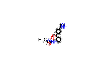 Cc1coc(NC(=O)[C@H]2CCCC[C@@H]2C(=O)c2ccc(-c3ccn[nH]3)cc2)n1